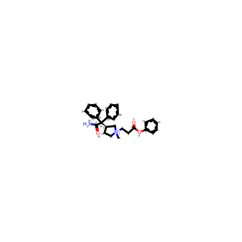 C[N+]1(CCC(=O)Oc2ccccc2)CC[C@@H](C(C(N)=O)(c2ccccc2)c2ccccc2)C1